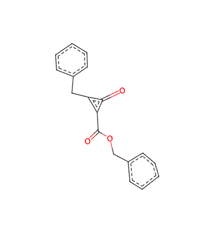 O=C(OCc1ccccc1)c1c(Cc2ccccc2)c1=O